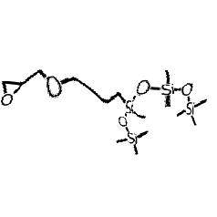 C[Si](C)(C)O[Si](C)(C)O[Si](C)(CCCOCC1CO1)O[Si](C)(C)C